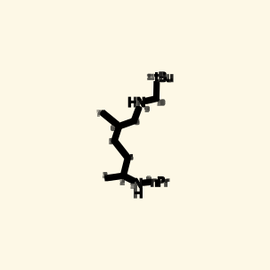 CCCNC(C)CCC(C)CNCC(C)(C)C